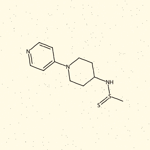 CS(=S)NC1CCN(c2ccncc2)CC1